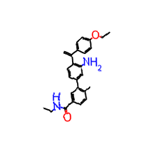 C=C(c1ccc(OCC)cc1)c1ccc(-c2cc(C(=O)NCC)ccc2C)cc1N